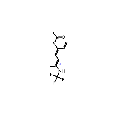 C=C/C(=C\C=C(/C)NC(F)(F)F)SC(C)=O